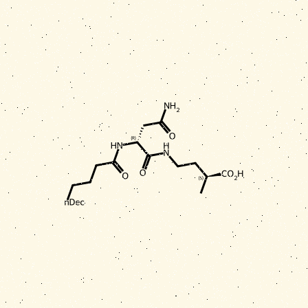 CCCCCCCCCCCCCC(=O)N[C@H](CC(N)=O)C(=O)NCC[C@H](C)C(=O)O